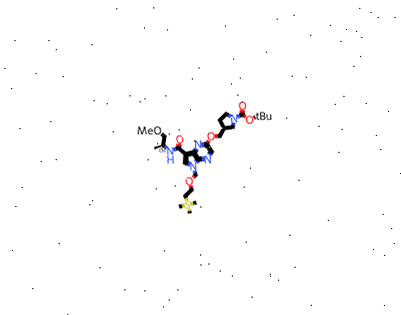 COC[C@H](C)NC(=O)c1cn(COCCS(C)(C)C)c2ncc(OCC3CCN(C(=O)OC(C)(C)C)C3)nc12